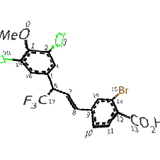 COc1c(Cl)cc(C(/C=C/c2ccc(C(=O)O)c(Br)c2)C(F)(F)F)cc1Cl